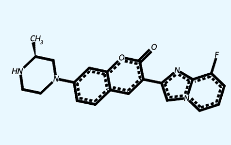 C[C@H]1CN(c2ccc3cc(-c4cn5cccc(F)c5n4)c(=O)oc3c2)CCN1